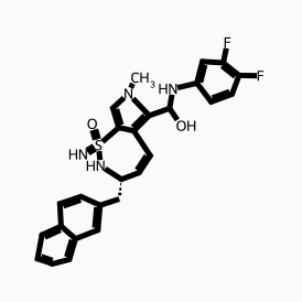 Cn1cc2c(c1C(O)Nc1ccc(F)c(F)c1)C=C[C@H](Cc1ccc3ccccc3c1)NS2(=N)=O